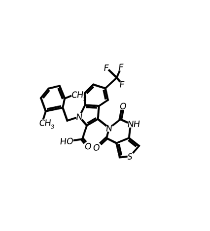 Cc1cccc(C)c1Cn1c(C(=O)O)c(-n2c(=O)[nH]c3cscc3c2=O)c2cc(C(F)(F)F)ccc21